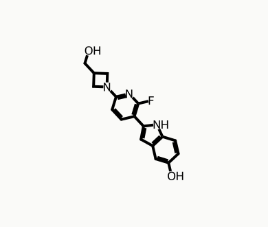 OCC1CN(c2ccc(-c3cc4cc(O)ccc4[nH]3)c(F)n2)C1